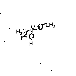 CCC1CCN(CC(=O)N(CC(C)CC(F)(F)F)C2CCNCC2)CC1